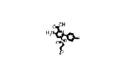 COCCS(=O)(=O)c1cc(N)c(C(=O)O)nc1-c1ccc(F)cc1